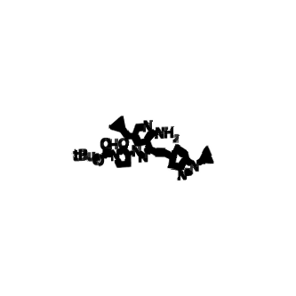 CC(C)(C)OC(=O)N1CC[C@H](n2nc(C#Cc3ccc4c(c3)ncn4C3CC3)c3c(N)ncc([C@@H](O)C4CC4)c32)C1